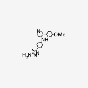 COc1ccc(-c2cnccc2Nc2ccc(-c3nnc(N)s3)cc2)cc1